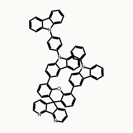 c1ccc(-n2c3ccccc3c3cc(-c4cccc5c4Oc4c(-c6ccc7c(c6)c6ccccc6n7-c6ccc(-n7c8ccccc8c8ccccc87)cc6)cccc4C54c5cccnc5-c5ncccc54)ccc32)cc1